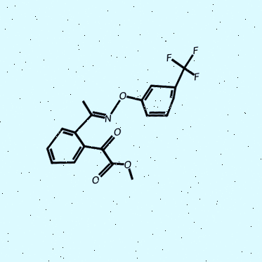 COC(=O)C(=O)c1ccccc1/C(C)=N/Oc1cccc(C(F)(F)F)c1